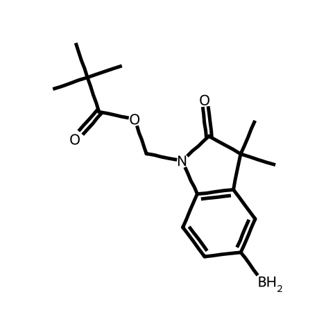 Bc1ccc2c(c1)C(C)(C)C(=O)N2COC(=O)C(C)(C)C